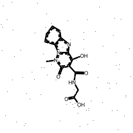 Cn1c(=O)c(C(=O)NCC(=O)O)c(O)c2nc3ccccc3n21